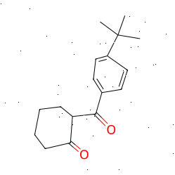 CC(C)(C)c1ccc(C(=O)C2CCCCC2=O)cc1